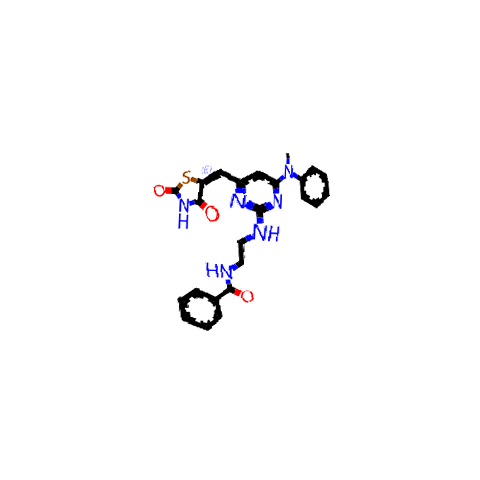 CN(c1ccccc1)c1cc(/C=C2/SC(=O)NC2=O)nc(NCCNC(=O)c2ccccc2)n1